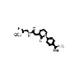 CCC(CNC(=O)CC1CCCN(c2ccc(C(=N)N)cc2)C1=O)C(=O)O